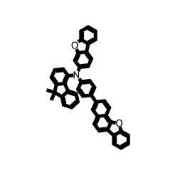 CC1(C)c2ccccc2-c2c(N(c3ccc(-c4ccc5c(ccc6c7ccccc7oc56)c4)cc3)c3ccc4c(c3)oc3ccccc34)cccc21